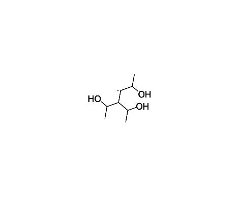 CC(O)[CH]C(C(C)O)C(C)O